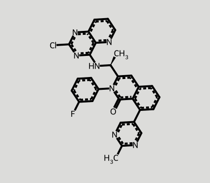 Cc1ncc(-c2cccc3cc([C@H](C)Nc4nc(Cl)nc5cccnc45)n(-c4cccc(F)c4)c(=O)c23)cn1